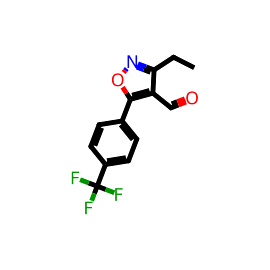 CCc1noc(-c2ccc(C(F)(F)F)cc2)c1C=O